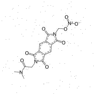 CN(C)C(=O)Cn1c(=O)c2cc3c(=O)n(CO[N+](=O)[O-])c(=O)c3cc2c1=O